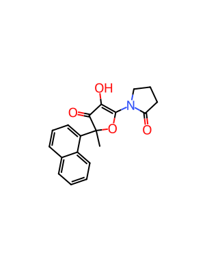 CC1(c2cccc3ccccc23)OC(N2CCCC2=O)=C(O)C1=O